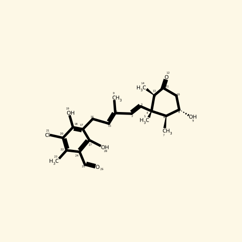 CC(/C=C/[C@@]1(C)[C@H](C)[C@@H](O)CC(=O)[C@@H]1C)=C\Cc1c(O)c(Cl)c(C)c(C=O)c1O